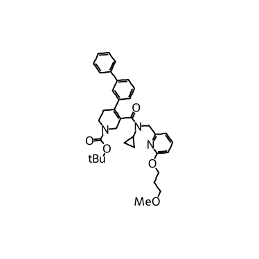 COCCCOc1cccc(CN(C(=O)C2=C(c3cccc(-c4ccccc4)c3)CCN(C(=O)OC(C)(C)C)C2)C2CC2)n1